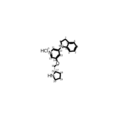 Cl.c1ccc2c(c1)CCN2c1cncc(OC[C@@H]2CCCN2)c1